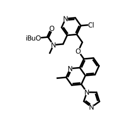 Cc1cc(-n2ccnc2)c2cccc(OCc3c(Cl)cncc3CN(C)C(=O)OCC(C)C)c2n1